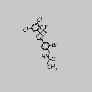 CCC(=O)NCc1ccc(N2CCC(c3cc(Cl)cc(Cl)c3)(C(F)(F)F)C2)cc1Br